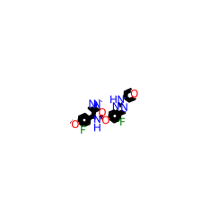 COc1ccc([C@H](NC(=O)Oc2cc(F)c3cnc(NC4CCOCC4)nc3c2)c2cnn(C)c2)cc1F